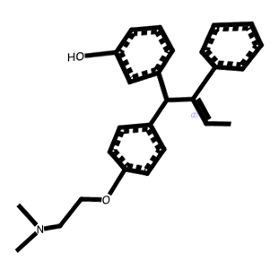 C/C=C(\c1ccccc1)C(c1ccc(OCCN(C)C)cc1)c1cccc(O)c1